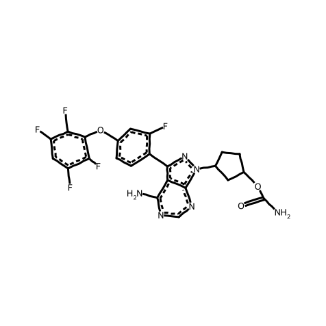 NC(=O)OC1CCC(n2nc(-c3ccc(Oc4c(F)c(F)cc(F)c4F)cc3F)c3c(N)ncnc32)C1